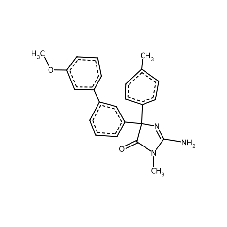 COc1cccc(-c2cccc(C3(c4ccc(C)cc4)N=C(N)N(C)C3=O)c2)c1